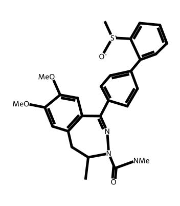 CNC(=O)N1N=C(c2ccc(-c3ccccc3[S+](C)[O-])cc2)c2cc(OC)c(OC)cc2CC1C